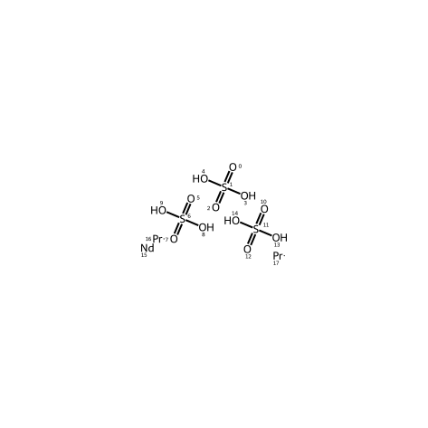 O=S(=O)(O)O.O=S(=O)(O)O.O=S(=O)(O)O.[Nd].[Pr].[Pr]